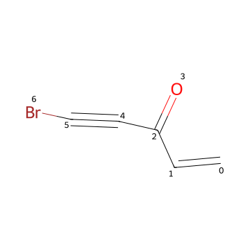 C=CC(=O)C#CBr